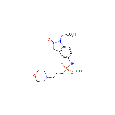 Cl.O=C(O)CN1C(=O)Cc2cc(NS(=O)(=O)CCCN3CCOCC3)ccc21